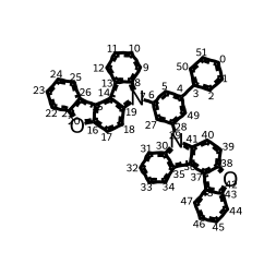 c1ccc(-c2cc(-n3c4ccccc4c4c5c(ccc43)oc3ccccc35)cc(-n3c4ccccc4c4c5c(ccc43)oc3ccccc35)c2)cc1